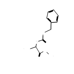 CCCCOC(=O)C(NC(=O)OCc1ccccc1)OC(C)=O